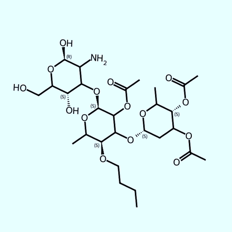 CCCCO[C@H]1C(C)O[C@@H](OC2C(N)[C@H](O)OC(CO)[C@H]2O)C(OC(C)=O)C1O[C@H]1CC(OC(C)=O)[C@@H](OC(C)=O)C(C)O1